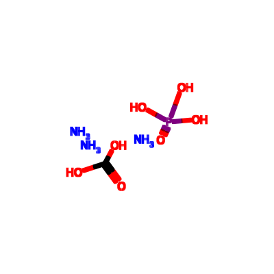 N.N.N.O=C(O)O.O=P(O)(O)O